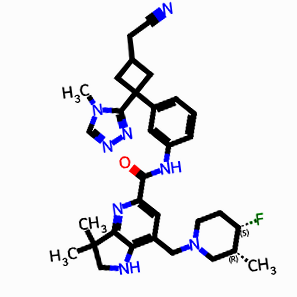 C[C@@H]1CN(Cc2cc(C(=O)Nc3cccc(C4(c5nncn5C)CC(CC#N)C4)c3)nc3c2NCC3(C)C)CC[C@@H]1F